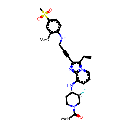 C=Cc1c(C#CCNc2ccc(S(C)(=O)=O)cc2OC)nc2c(N[C@@H]3CCN(C(=O)NC)C[C@@H]3F)cccn12